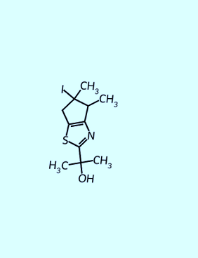 CC1c2nc(C(C)(C)O)sc2CC1(C)I